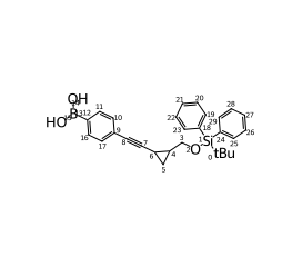 CC(C)(C)[Si](OCC1CC1C#Cc1ccc(B(O)O)cc1)(c1ccccc1)c1ccccc1